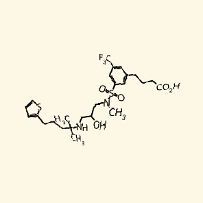 CN(CC(O)CNC(C)(C)CCCc1cccs1)S(=O)(=O)c1cc(CCCC(=O)O)cc(C(F)(F)F)c1